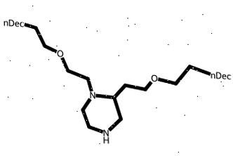 CCCCCCCCCCCCOCCC1CNCCN1CCOCCCCCCCCCCCC